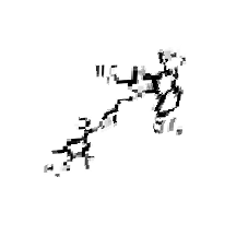 CCc1nc2c(N)nc3c(c2n1CCCCNC(=O)c1cc(F)c(N)c(F)c1)=C[C@@H](C)CC=3